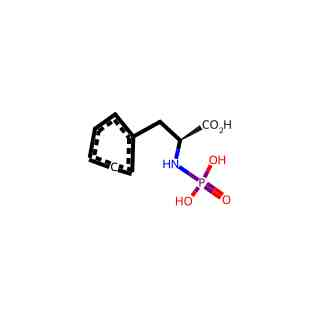 O=C(O)[C@H](Cc1ccccc1)NP(=O)(O)O